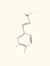 COC(=O)/C=C/c1ccc(O)c(N)c1